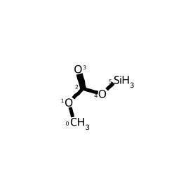 COC(=O)O[SiH3]